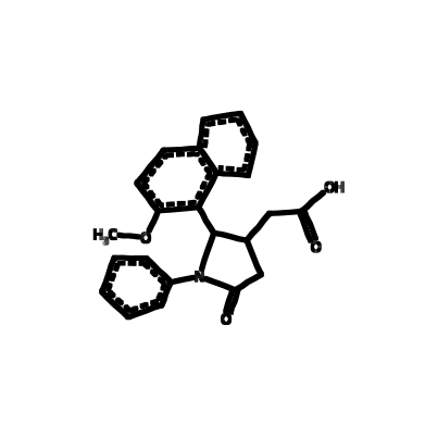 COc1ccc2ccccc2c1C1C(CC(=O)O)CC(=O)N1c1ccccc1